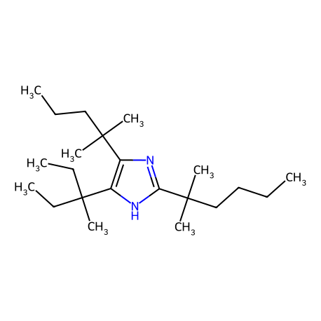 CCCCC(C)(C)c1nc(C(C)(C)CCC)c(C(C)(CC)CC)[nH]1